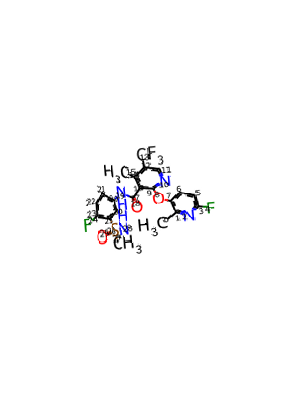 Cc1nc(F)ccc1Oc1ncc(C(F)(F)F)c(C)c1C(=O)Nc1ccc(F)c(S(C)(=N)=O)c1